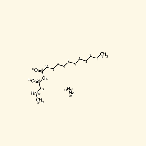 CCCCCCCCCCCC(=O)OC(=O)CNC.[Na].[Na]